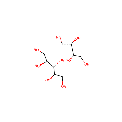 OC[C@@H](O)[C@@H](O)CO.OC[C@@H](O)[C@@H](O)[C@@H](O)CO